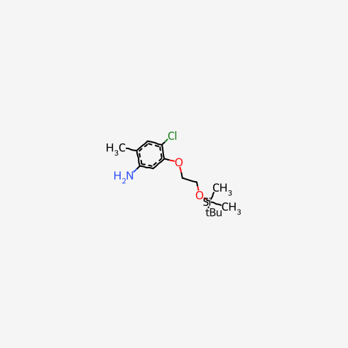 Cc1cc(Cl)c(OCCO[Si](C)(C)C(C)(C)C)cc1N